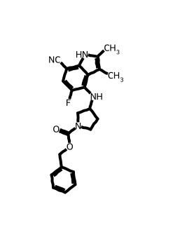 Cc1[nH]c2c(C#N)cc(F)c(NC3CCN(C(=O)OCc4ccccc4)C3)c2c1C